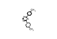 Cc1ccc(-c2ncnc(N3CCN(C)CC3)n2)cc1